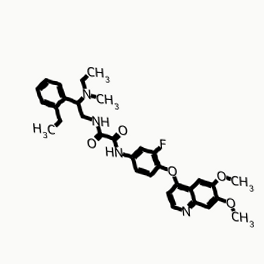 CCc1ccccc1C(CNC(=O)C(=O)Nc1ccc(Oc2ccnc3cc(OC)c(OC)cc23)c(F)c1)N(C)CC